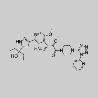 CCC(O)(CC)c1cc(-c2ncc(OC)c3c(C(=O)C(=O)N4CCN(c5nnnn5-c5ccccn5)CC4)c[nH]c23)n[nH]1